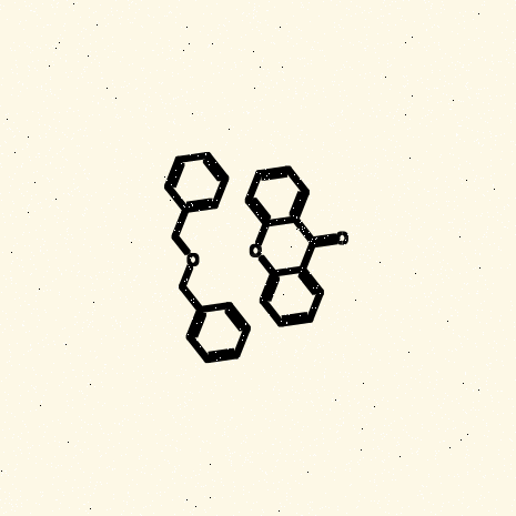 O=c1c2ccccc2oc2ccccc12.c1ccc(COCc2ccccc2)cc1